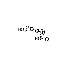 Cc1noc(-c2ccc(-c3ccc(C4(C(=O)O)CC4)cc3)cc2)c1CC(O)SCc1ccccc1